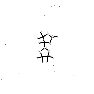 CB1OC(C)(C)C(C)(B2OC(C)(C)C(C)(C)O2)O1